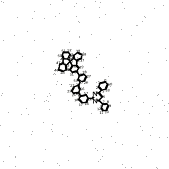 c1ccc(-c2cc(-c3ccccc3)nc(-c3cccc(-c4cccc(-c5cccc(-c6ccc7c(c6)-c6ccccc6C76c7ccccc7-c7ccccc76)c5)c4)c3)n2)cc1